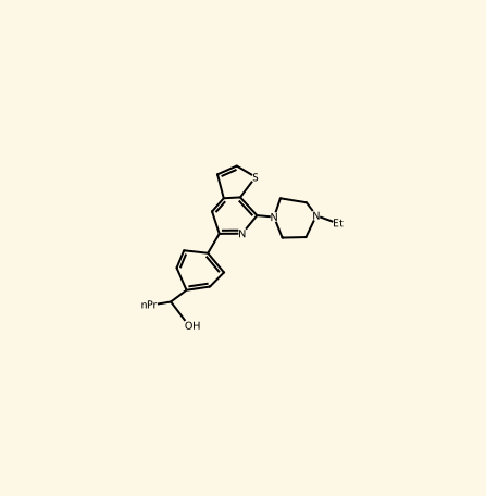 CCCC(O)c1ccc(-c2cc3ccsc3c(N3CCN(CC)CC3)n2)cc1